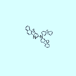 c1ccc2c(c1)ccc1c3ncc(N(c4ccc5c(c4)oc4ccccc45)c4ccc5sc6ccccc6c5c4)cc3sc21